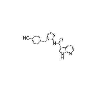 N#Cc1ccc(Cn2ccs/c2=N\C(=O)c2c[nH]c3ncccc23)cc1